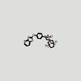 CS(=O)(=O)N1C[C@H]2CC[C@@H](C1)N2CCOc1ccc(Oc2nc3ncccc3s2)cc1